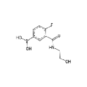 O=C(NCCO)c1cc(B(O)O)ccc1F